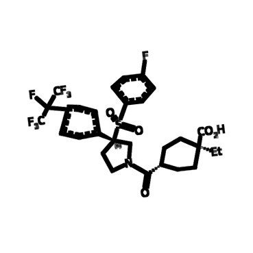 CC[C@]1(C(=O)O)CC[C@H](C(=O)N2CC[C@](c3ccc(C(F)(C(F)(F)F)C(F)(F)F)cc3)(S(=O)(=O)c3ccc(F)cc3)C2)CC1